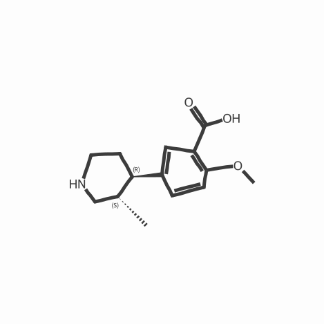 COc1ccc([C@@H]2CCNC[C@H]2C)cc1C(=O)O